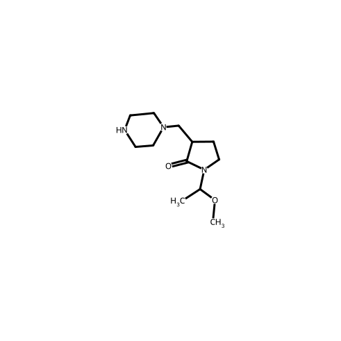 COC(C)N1CCC(CN2CCNCC2)C1=O